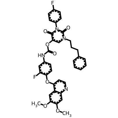 COc1cc2nccc(Oc3ccc(NC(=O)Oc4cn(CCCc5ccccc5)c(=O)n(-c5ccc(F)cc5)c4=O)cc3F)c2cc1OC